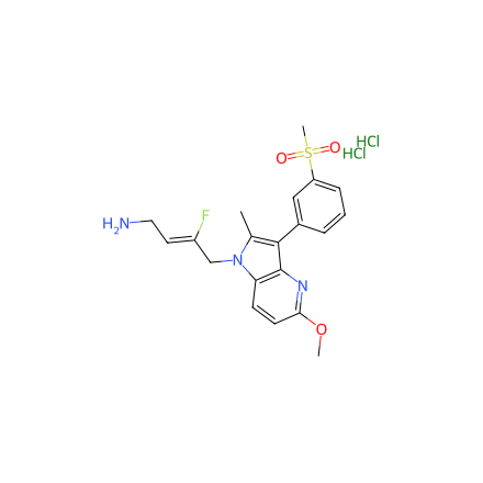 COc1ccc2c(n1)c(-c1cccc(S(C)(=O)=O)c1)c(C)n2C/C(F)=C/CN.Cl.Cl